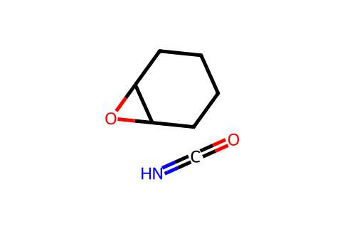 C1CCC2OC2C1.N=C=O